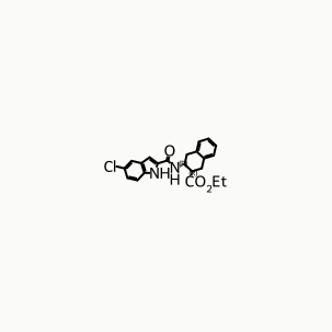 CCOC(=O)[C@@H]1Cc2ccccc2C[C@H]1NC(=O)c1cc2cc(Cl)ccc2[nH]1